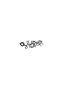 CCCCC(C)(C)n1cnc2c(NC(=O)c3ccccc3)ncnc21